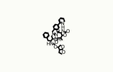 CC(C)C1OC(=O)NC1C(=O)NN(Cc1ccc(-c2ccccn2)cc1)CC(O)C(Cc1ccccc1)NC(=O)OC1COC2OCCC12